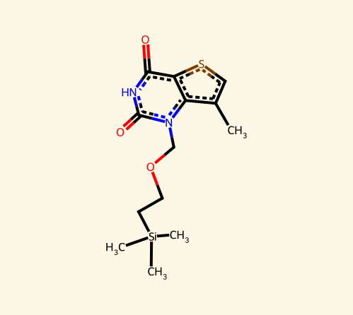 Cc1csc2c(=O)[nH]c(=O)n(COCC[Si](C)(C)C)c12